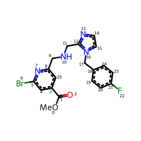 COC(=O)c1cc(Br)nc(CNCc2nccn2Cc2ccc(F)cc2)c1